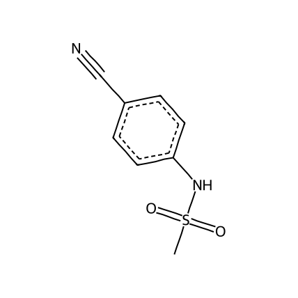 CS(=O)(=O)Nc1ccc(C#N)cc1